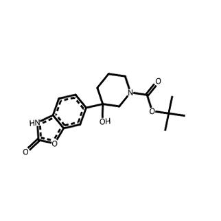 CC(C)(C)OC(=O)N1CCCC(O)(c2ccc3[nH]c(=O)oc3c2)C1